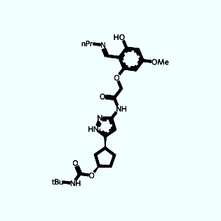 CCC/N=C/c1c(O)cc(OC)cc1OCC(=O)Nc1cc([C@H]2CC[C@@H](OC(=O)NC(C)(C)C)C2)[nH]n1